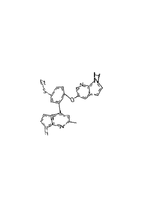 CCSc1ccc(Oc2cnc3[nH]ccc3c2)c(-c2cc(C)nc3[nH]ccc23)c1